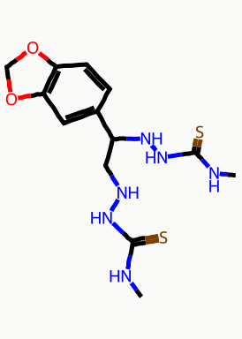 CNC(=S)NNCC(NNC(=S)NC)c1ccc2c(c1)OCO2